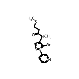 CSCCC(=O)N(C)c1cnn(-c2cccnc2)c1Br